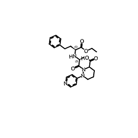 CCOC(=O)[C@H](CCc1ccccc1)N[C@@H](C)C(=O)N1C(C(=O)O)CCCN1c1ccncc1